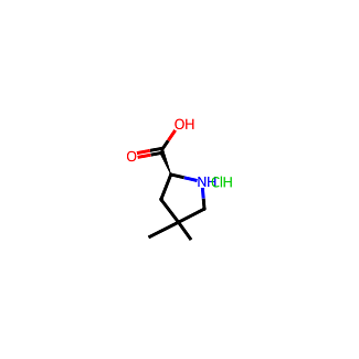 CC1(C)CN[C@H](C(=O)O)C1.Cl